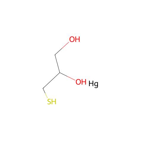 OCC(O)CS.[Hg]